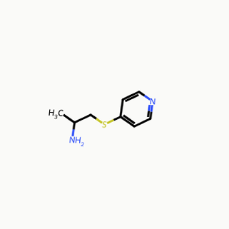 CC(N)CSc1ccncc1